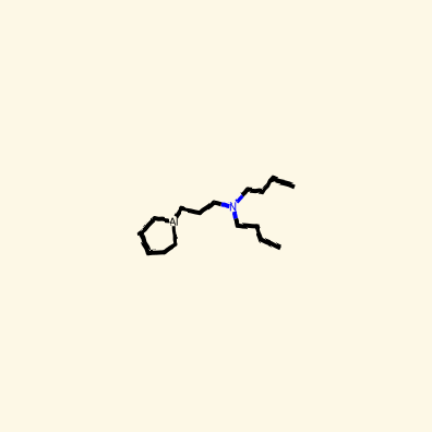 CCCCN(CCCC)CC[CH2][Al]1[CH2]CCC[CH2]1